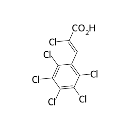 O=C(O)/C(Cl)=C/c1c(Cl)c(Cl)c(Cl)c(Cl)c1Cl